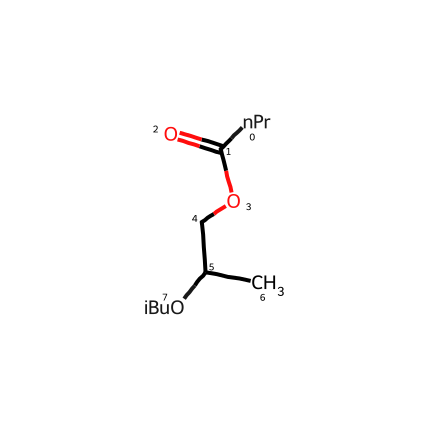 CCCC(=O)OCC(C)OCC(C)C